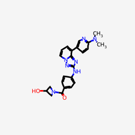 CN(C)c1ccc(-c2cccn3nc(Nc4ccc(C(=O)N5CC(O)C5)cc4)nc23)cn1